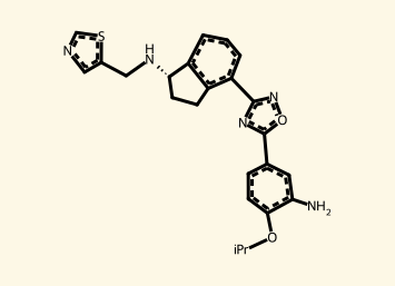 CC(C)Oc1ccc(-c2nc(-c3cccc4c3CC[C@@H]4NCc3cncs3)no2)cc1N